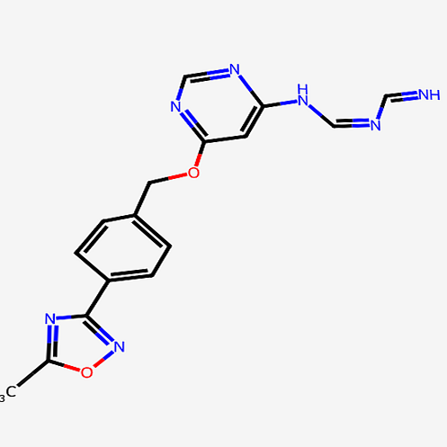 N=C/N=C\Nc1cc(OCc2ccc(-c3noc(C(F)(F)F)n3)cc2)ncn1